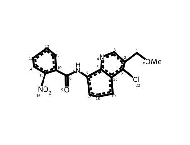 COCc1cnc2c(NC(=O)c3ccccc3[N+](=O)[O-])cccc2c1Cl